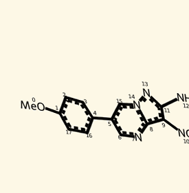 COc1ccc(-c2cnc3c([N+](=O)[O-])c(N)nn3c2)cc1